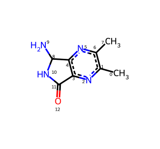 Cc1nc2c(nc1C)C(N)NC2=O